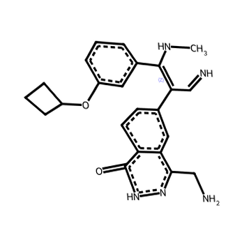 CN/C(=C(\C=N)c1ccc2c(=O)[nH]nc(CN)c2c1)c1cccc(OC2CCC2)c1